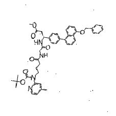 COC(=O)C[C@H](NC(=O)CNC(=O)CCCN(C(=O)OC(C)(C)C)c1cc(C)ccn1)c1ccc(-c2cccc3c(OCc4ccccc4)cccc23)cc1